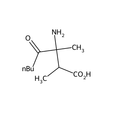 CCCCC(=O)C(C)(N)C(C)C(=O)O